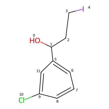 OC(CCI)c1cccc(Cl)c1